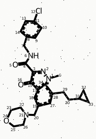 Cn1nc(C(=O)NCc2ccc(Cl)cc2)c(=O)c2cc(CN3CCOCC3)cc(CCC3CC3)c21